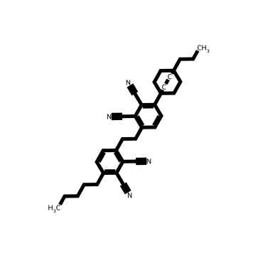 CCCCCc1ccc(CCc2ccc(C34CCC(CCC)(CC3)CC4)c(C#N)c2C#N)c(C#N)c1C#N